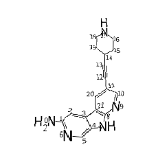 Nc1cc2c(cn1)[nH]c1ncc(C#CC3CCNCC3)cc12